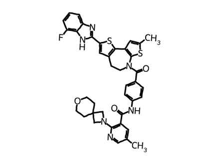 Cc1cnc(N2CC3(CCOCC3)C2)c(C(=O)Nc2ccc(C(=O)N3CCc4cc(-c5nc6cccc(F)c6[nH]5)sc4-c4cc(C)sc43)cc2)c1